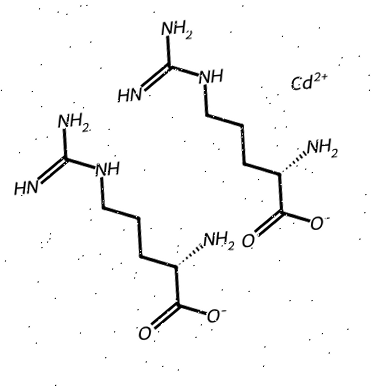 N=C(N)NCCC[C@H](N)C(=O)[O-].N=C(N)NCCC[C@H](N)C(=O)[O-].[Cd+2]